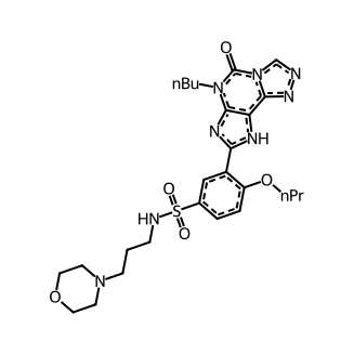 CCCCn1c(=O)n2cnnc2c2[nH]c(-c3cc(S(=O)(=O)NCCCN4CCOCC4)ccc3OCCC)nc21